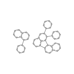 c1ccc(-c2cc3cccc4c3c(c2-c2ccccc2)-c2c-4ccc3ccccc23)cc1.c1ccc(-c2cccc3ccccc23)cc1